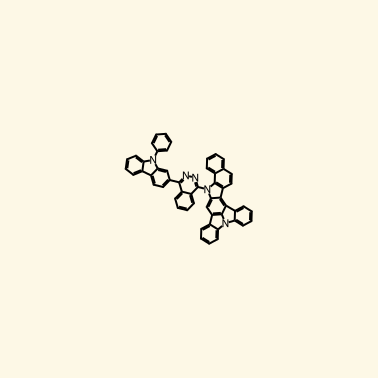 c1ccc(-n2c3ccccc3c3ccc(-c4nnc(-n5c6cc7c8ccccc8n8c9ccccc9c(c6c6ccc9ccccc9c65)c78)c5ccccc45)cc32)cc1